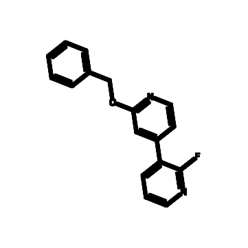 Fc1ncccc1-c1ccnc(OCc2ccccc2)c1